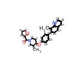 Cc1c(-c2ccc(OC3CCN(C(=O)C4CCCO4)CC3C)cc2)ccc2cccnc12